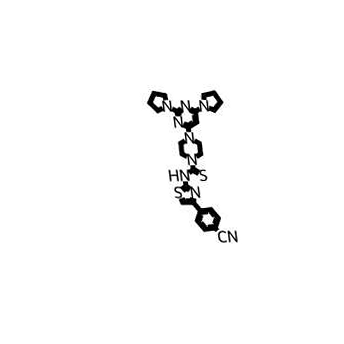 N#Cc1ccc(-c2csc(NC(=S)N3CCN(c4cc(N5CCCC5)nc(N5CCCC5)n4)CC3)n2)cc1